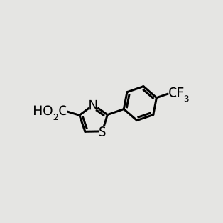 O=C(O)c1csc(-c2ccc(C(F)(F)F)cc2)n1